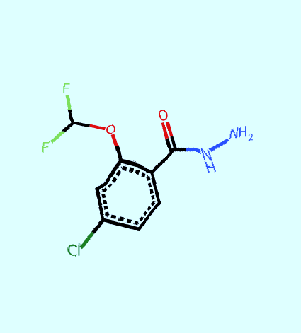 NNC(=O)c1ccc(Cl)cc1OC(F)F